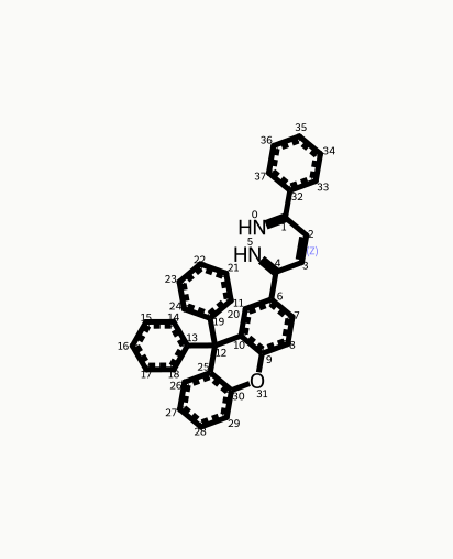 N=C(/C=C\C(=N)c1ccc2c(c1)C(c1ccccc1)(c1ccccc1)c1ccccc1O2)c1ccccc1